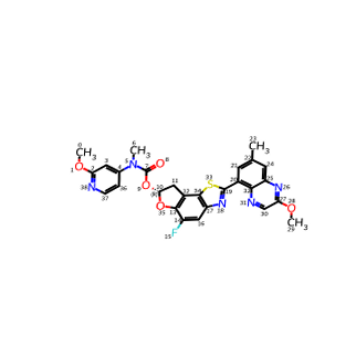 COc1cc(N(C)C(=O)O[C@@H]2Cc3c(c(F)cc4nc(-c5cc(C)cc6nc(OC)cnc56)sc34)O2)ccn1